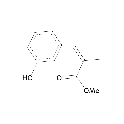 C=C(C)C(=O)OC.Oc1ccccc1